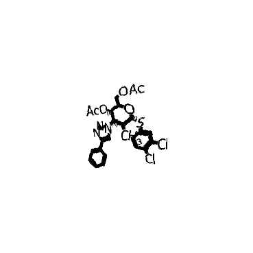 CC(=O)OCC1O[C@H](Sc2ccc(Cl)c(Cl)c2)C(C)[C@@H](n2cc(-c3ccccc3)nn2)[C@H]1OC(C)=O